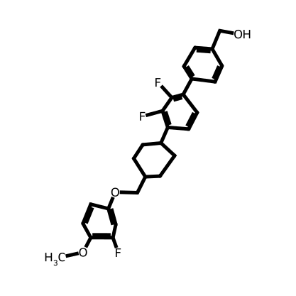 COc1ccc(OCC2CCC(c3ccc(-c4ccc(CO)cc4)c(F)c3F)CC2)cc1F